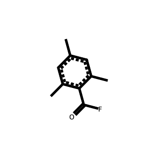 Cc1cc(C)c(C(=O)F)c(C)c1